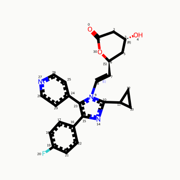 O=C1C[C@H](O)C[C@@H](/C=C/n2c(C3CC3)nc(-c3ccc(F)cc3)c2-c2ccncc2)O1